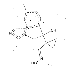 ON=CC1(C(O)(Cn2cncn2)c2ccc(Cl)cc2)CC1